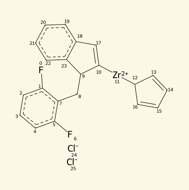 Fc1cccc(F)c1CC1[C]([Zr+2][CH]2C=CC=C2)=Cc2ccccc21.[Cl-].[Cl-]